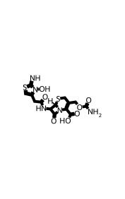 N=c1scc(CC(=O)NC2C(=O)N3C(C(=O)O)=C(COC(N)=O)CS[C@H]23)n1O